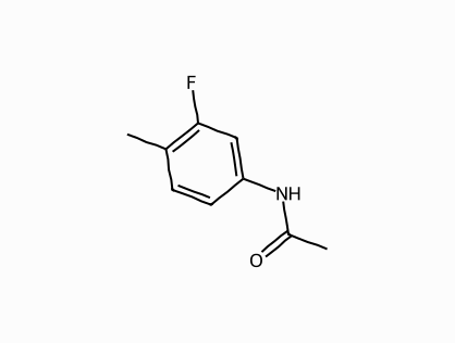 CC(=O)Nc1ccc(C)c(F)c1